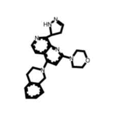 C1=NNC(c2nccc3c(N4CCc5ccccc5C4)cc(N4CCOCC4)nc23)C1